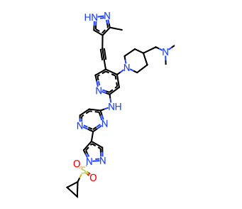 Cc1n[nH]cc1C#Cc1cnc(Nc2ccnc(-c3cnn(S(=O)(=O)C4CC4)c3)n2)cc1N1CCC(CN(C)C)CC1